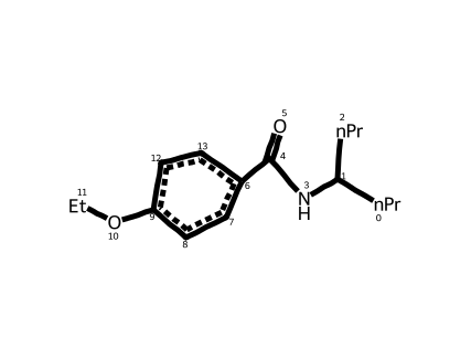 CCCC(CCC)NC(=O)c1ccc(OCC)cc1